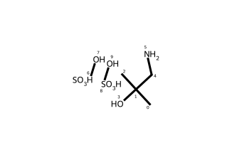 CC(C)(O)CN.O=S(=O)(O)O.O=S(=O)(O)O